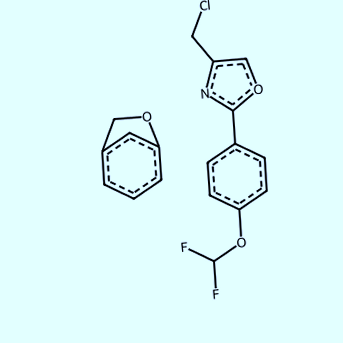 FC(F)Oc1ccc(-c2nc(CCl)co2)cc1.c1cc2cc(c1)OC2